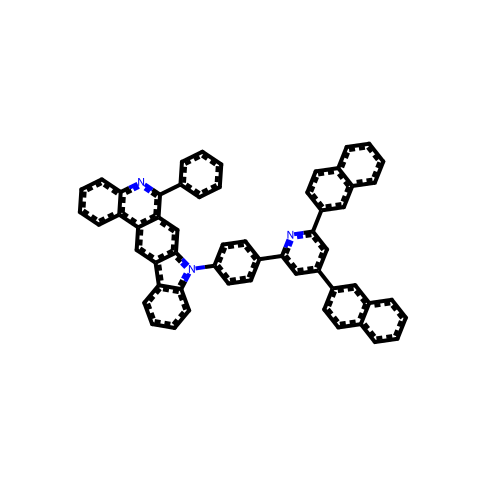 c1ccc(-c2nc3ccccc3c3cc4c5ccccc5n(-c5ccc(-c6cc(-c7ccc8ccccc8c7)cc(-c7ccc8ccccc8c7)n6)cc5)c4cc23)cc1